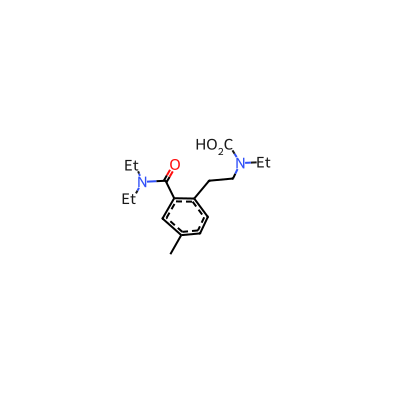 CCN(CCc1ccc(C)cc1C(=O)N(CC)CC)C(=O)O